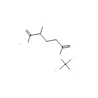 COC(=O)C(C)CCC(=O)OC(C)(C)C#N